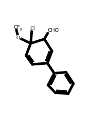 O=CC1C=C(c2ccccc2)C=CC1(Cl)OC(F)(F)F